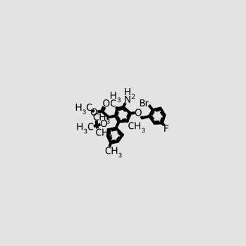 COC(=O)[C@@H](OC(C)(C)C)c1c(C)c(N)c(OCc2cc(F)ccc2Br)c(C)c1-c1ccc(C)cc1